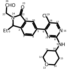 CCC1c2ccc(-c3nc(NC4CCOCC4)ncc3Cl)cc2C(=O)N1CC=O